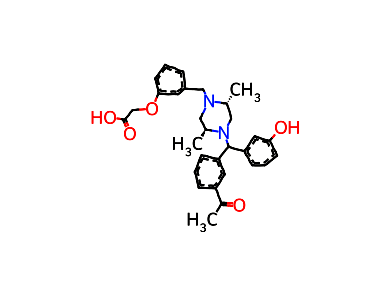 CC(=O)c1cccc(C(c2cccc(O)c2)N2C[C@@H](C)N(Cc3cccc(OCC(=O)O)c3)C[C@@H]2C)c1